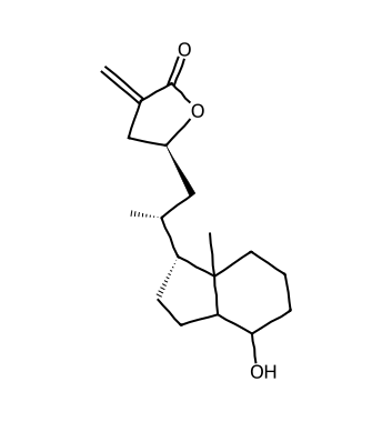 C=C1C[C@H](C[C@@H](C)[C@H]2CCC3C(O)CCCC32C)OC1=O